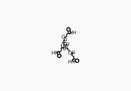 CC(C)(COC(=O)CCc1c[nH]c2ccccc12)[C@@H](OC(=O)CCc1c[nH]c2ccccc12)C(=O)NCCCOC(=O)CCc1c[nH]c2ccccc12